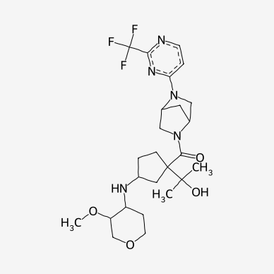 COC1COCCC1NC1CCC(C(=O)N2CC3CC2CN3c2ccnc(C(F)(F)F)n2)(C(C)(C)O)C1